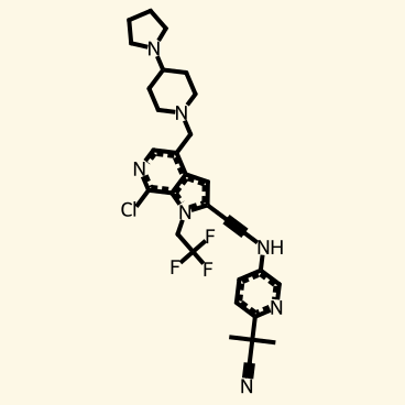 CC(C)(C#N)c1ccc(NC#Cc2cc3c(CN4CCC(N5CCCC5)CC4)cnc(Cl)c3n2CC(F)(F)F)cn1